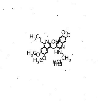 CCCc1nc(O)c(Cc2cc3cc4c(cc3nc2NCC)OCO4)c2cc(OC)c(OC)cc12.Cl.Cl